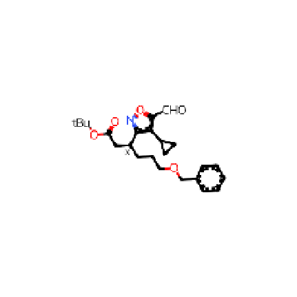 CC(C)(C)OC(=O)C[C@H](CCCOCc1ccccc1)c1noc(C=O)c1C1CC1